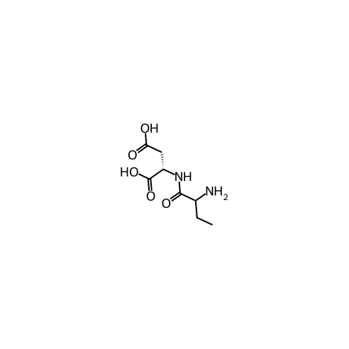 CCC(N)C(=O)N[C@@H](CC(=O)O)C(=O)O